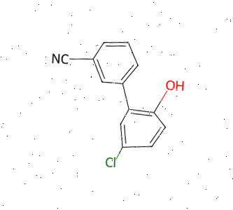 N#Cc1cccc(-c2cc(Cl)ccc2O)c1